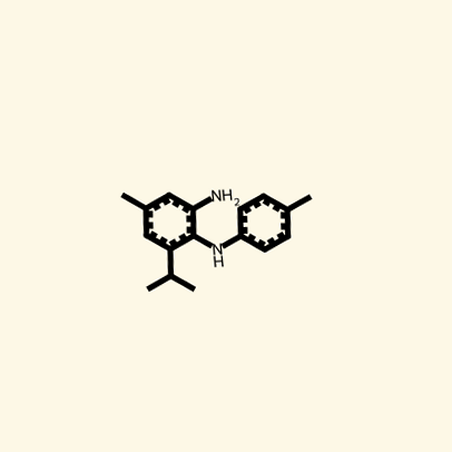 Cc1ccc(Nc2c(N)cc(C)cc2C(C)C)cc1